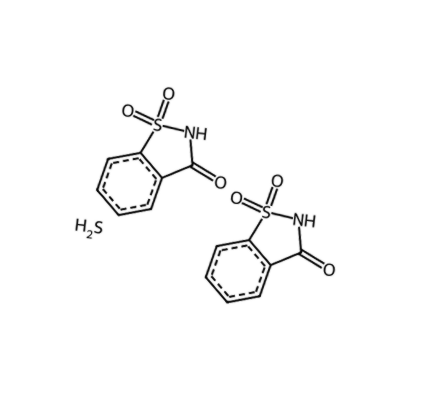 O=C1NS(=O)(=O)c2ccccc21.O=C1NS(=O)(=O)c2ccccc21.S